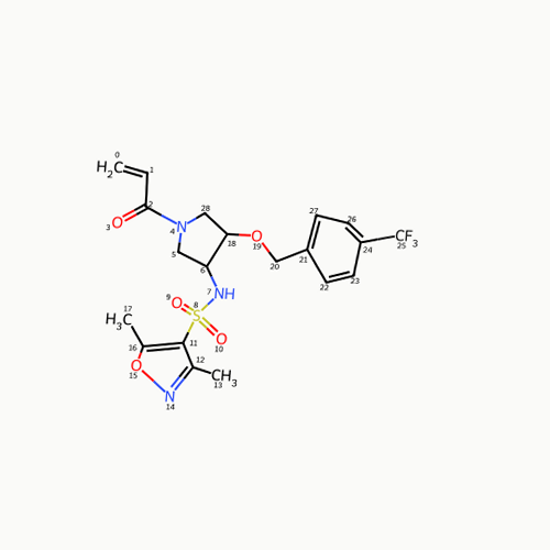 C=CC(=O)N1CC(NS(=O)(=O)c2c(C)noc2C)C(OCc2ccc(C(F)(F)F)cc2)C1